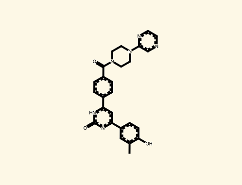 Cc1cc(-c2cc(-c3ccc(C(=O)N4CCN(c5cnccn5)CC4)cc3)[nH]c(=O)n2)ccc1O